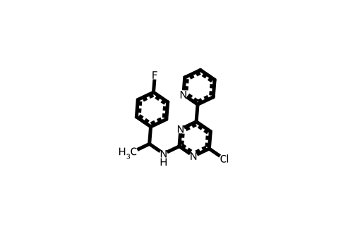 CC(Nc1nc(Cl)cc(-c2ccccn2)n1)c1ccc(F)cc1